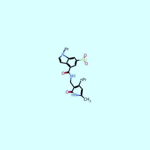 CCCc1cc(C)[nH]c(=O)c1CNC(=O)c1cc([SH](=O)=O)cc2c1ccn2C(C)C